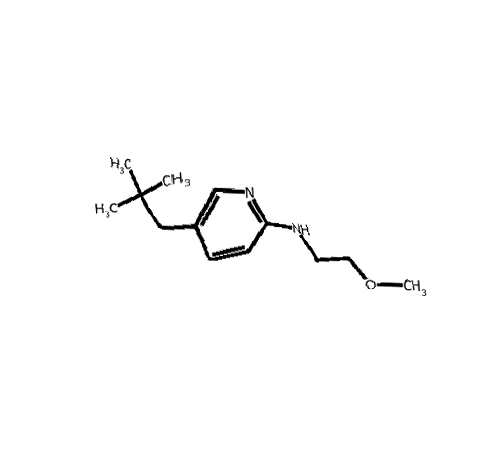 COCCNc1ccc(CC(C)(C)C)cn1